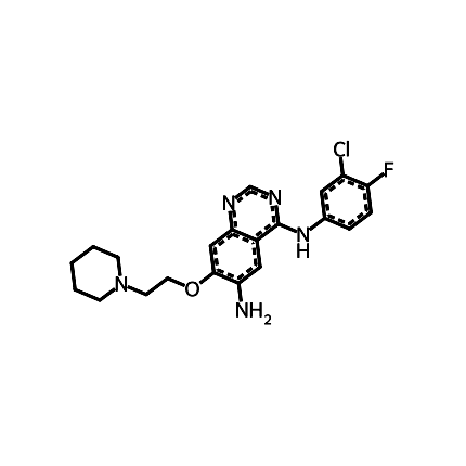 Nc1cc2c(Nc3ccc(F)c(Cl)c3)ncnc2cc1OCCN1CCCCC1